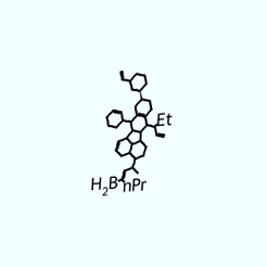 B/C(=C/C(C)C1CCC2C3C(C=CCC13)C1C(C3C=CCCC3)C3=C(CCC([C@@H]4CCCC(C=C)C4)C3)C(C(C=C)CC)C21)CCC